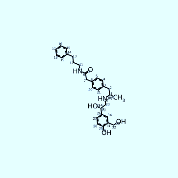 C[C@H](Cc1ccc(CC(=O)NCCCc2ccccc2)cc1)NC[C@H](O)c1ccc(O)c(CO)c1